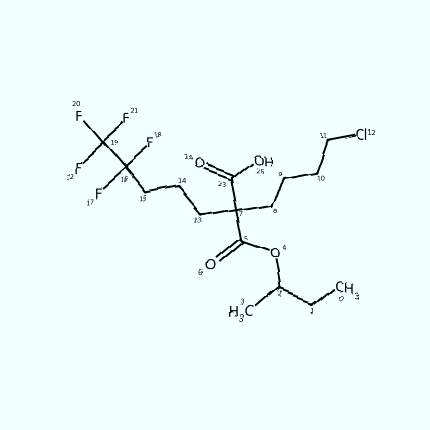 CCC(C)OC(=O)C(CCCCCl)(CCCC(F)(F)C(F)(F)F)C(=O)O